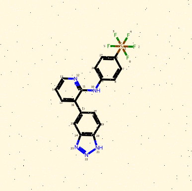 FS(F)(F)(F)(F)c1ccc(Nc2ncccc2-c2ccc3[nH]nnc3c2)cc1